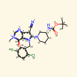 Cn1cnc2c(C#N)c(N3CCC[C@@H](NC(=O)OC(C)(C)C)C3)n(Cc3cc(F)ccc3Cl)c2c1=O